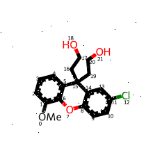 COc1cccc2c1Oc1ccc(Cl)cc1C2(CCO)CCO